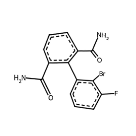 NC(=O)c1cccc(C(N)=O)c1-c1cccc(F)c1Br